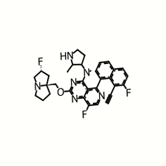 C#Cc1c(F)ccc2cccc(-c3ncc(F)c4nc(OC[C@@]56CCCN5C[C@H](F)C6)nc(N(C)C5CCNC5C)c34)c12